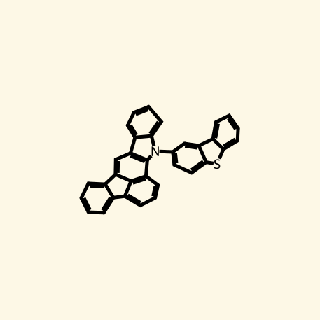 c1ccc2c(c1)-c1cccc3c1c-2cc1c2ccccc2n(-c2ccc4sc5ccccc5c4c2)c31